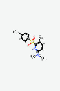 Cc1ccc(S(=O)(=O)c2nc(N(C)C)ccc2[N+](=O)[O-])cc1